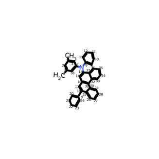 Cc1cc(C)cc(N(c2ccccc2)c2cc3cc(C4=CCCC=C4)c4ccccc4c3c3ccccc23)c1